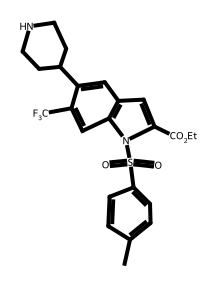 CCOC(=O)c1cc2cc(C3CCNCC3)c(C(F)(F)F)cc2n1S(=O)(=O)c1ccc(C)cc1